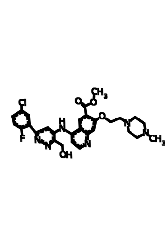 COC(=O)c1cc2c(Nc3cc(-c4cc(Cl)ccc4F)nnc3CO)ccnc2cc1OCCN1CCN(C)CC1